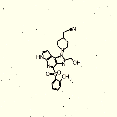 Cc1ccccc1S(=O)(=O)c1nc2[nH]ccc2c2c1nc(CO)n2N1CCC(CC#N)CC1